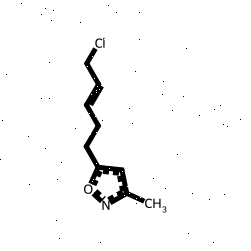 Cc1cc(CCC=CCCl)on1